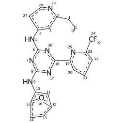 FCc1cc(Nc2nc(Nc3cc4ccc3o4)nc(-c3cccc(C(F)(F)F)n3)n2)ccn1